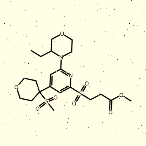 CCC1COCCN1c1cc(C2(S(C)(=O)=O)CCOCC2)cc(S(=O)(=O)CCC(=O)OC)n1